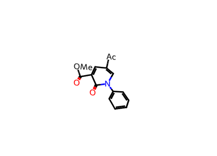 COC(=O)c1cc(C(C)=O)cn(-c2ccccc2)c1=O